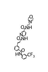 O=C(C=Cc1cccc(C(=O)Nc2cccc(C(F)(F)F)c2)c1)Nc1ccc(C(=O)NCCN2CCOCC2)cn1